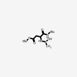 CB(O)NC(CC(=O)OC(C)(C)C)C(=O)NC(C)(C)C